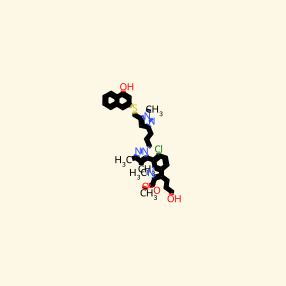 COC(=O)c1c(CCCO)c2ccc(Cl)c(-c3c(C)c(C)nn3CCCc3cc(CSc4cc(O)c5ccccc5c4)n(C)n3)c2n1C